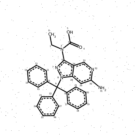 CCN(C(=O)O)c1nn(C(c2ccccc2)(c2ccccc2)c2ccccc2)c2cc(N)ncc12